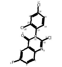 O=c1c2cc(F)ccc2nc(Cl)n1-c1ccc(Cl)cc1Cl